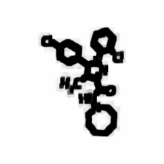 CC1C(C(=O)NN2CCCCCCC2)=NN(c2ccccc2Cl)C1c1ccc(Cl)cc1